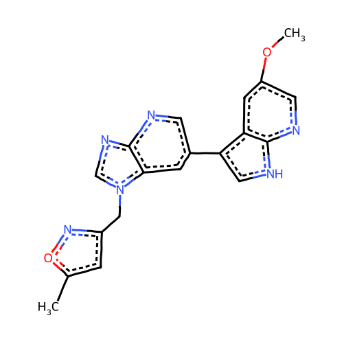 COc1cnc2[nH]cc(-c3cnc4ncn(Cc5cc(C)on5)c4c3)c2c1